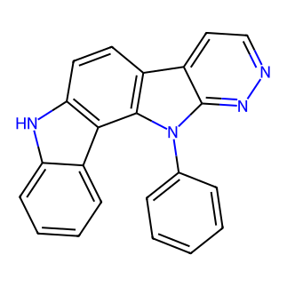 c1ccc(-n2c3nnccc3c3ccc4[nH]c5ccccc5c4c32)cc1